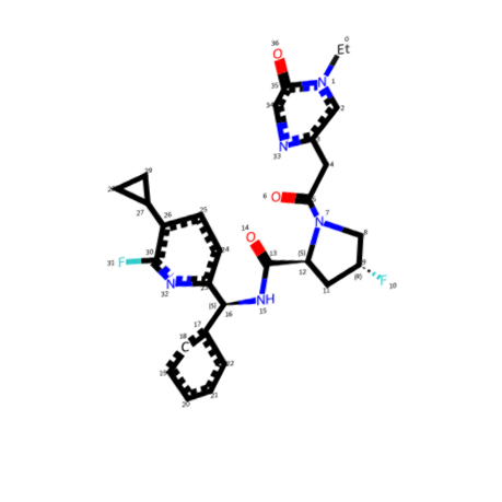 CCn1cc(CC(=O)N2C[C@H](F)C[C@H]2C(=O)N[C@@H](c2ccccc2)c2ccc(C3CC3)c(F)n2)ncc1=O